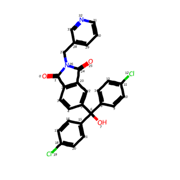 O=C1c2ccc(C(O)(c3ccc(Cl)cc3)c3ccc(Cl)cc3)cc2C(=O)N1Cc1cccnc1